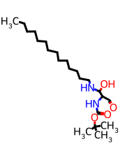 CCCCCCCCCCCCCCNC(O)C(C=O)NC(=O)OC(C)(C)C